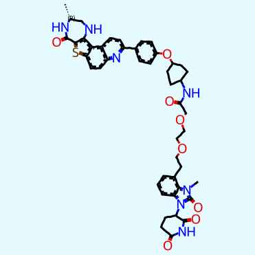 C[C@@H]1CNc2c(sc3ccc4nc(-c5ccc(OC6CCC(NC(=O)COCCOCCc7cccc8c7n(C)c(=O)n8C7CCC(=O)NC7=O)CC6)cc5)ccc4c23)C(=O)N1